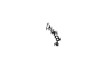 Cn1cc(-c2cnc3ccc(Cc4nnc5sc(CNCCF)nn45)cc3c2)cn1